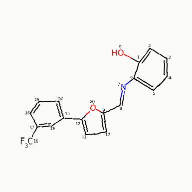 Oc1ccccc1N=Cc1ccc(-c2cccc(C(F)(F)F)c2)o1